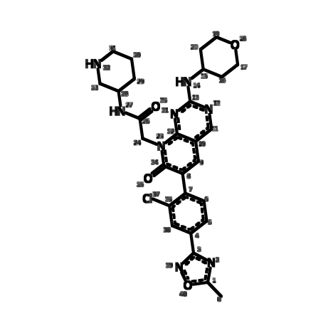 Cc1nc(-c2ccc(-c3cc4cnc(NC5CCOCC5)nc4n(CC(=O)NC4CCCNC4)c3=O)c(Cl)c2)no1